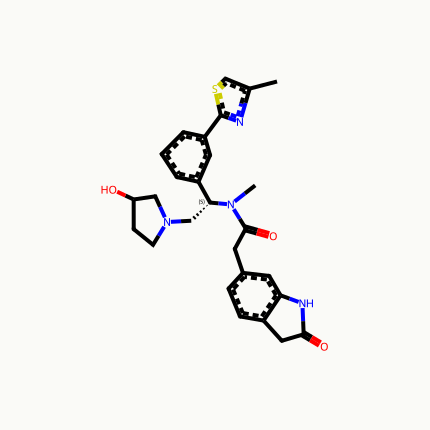 Cc1csc(-c2cccc([C@@H](CN3CCC(O)C3)N(C)C(=O)Cc3ccc4c(c3)NC(=O)C4)c2)n1